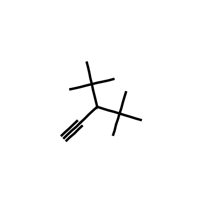 C#C[C](C(C)(C)C)C(C)(C)C